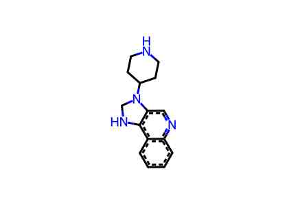 c1ccc2c3c(cnc2c1)N(C1CCNCC1)CN3